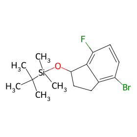 CC(C)(C)[Si](C)(C)OC1CCc2c(Br)ccc(F)c21